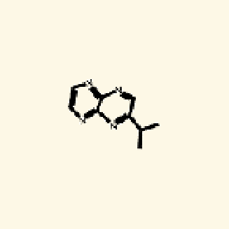 CC(C)c1cnc2nccnc2n1